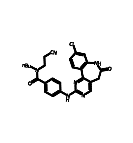 CCCCN(CCC#N)C(=O)c1ccc(Nc2ncc3c(n2)-c2ccc(Cl)cc2NC(=O)C3)cc1